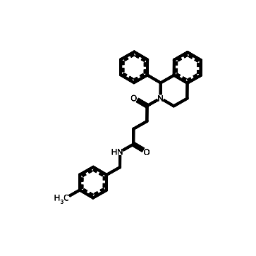 Cc1ccc(CNC(=O)CCC(=O)N2CCc3ccccc3C2c2ccccc2)cc1